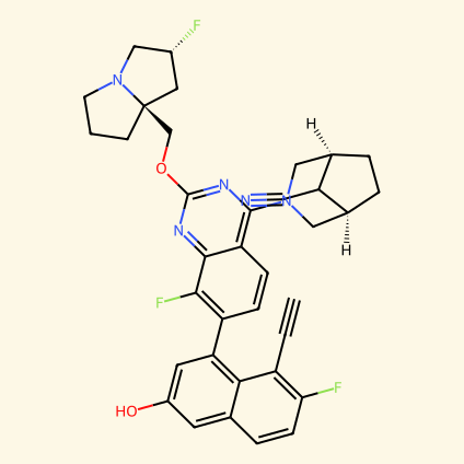 C#Cc1c(F)ccc2cc(O)cc(-c3ccc4c(N5C[C@H]6CC[C@@H](C5)C6C#N)nc(OC[C@@]56CCCN5C[C@H](F)C6)nc4c3F)c12